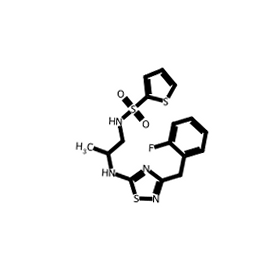 CC(CNS(=O)(=O)c1cccs1)Nc1nc(Cc2ccccc2F)ns1